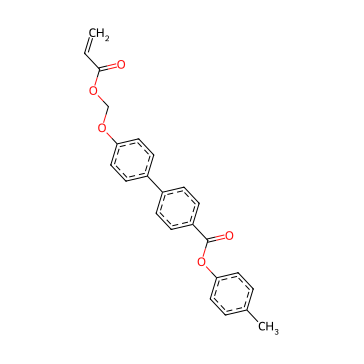 C=CC(=O)OCOc1ccc(-c2ccc(C(=O)Oc3ccc(C)cc3)cc2)cc1